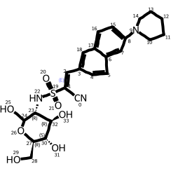 N#C/C(=C\c1ccc2cc(N3CCCCC3)ccc2c1)S(=O)(=O)N[C@H]1C(O)O[C@H](CO)[C@@H](O)[C@@H]1O